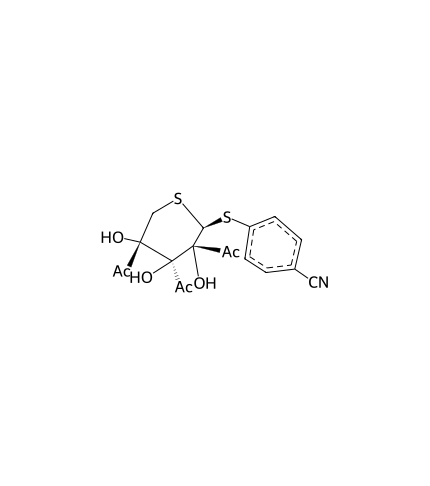 CC(=O)[C@]1(O)[C@@](O)(C(C)=O)CS[C@@H](Sc2ccc(C#N)cc2)[C@@]1(O)C(C)=O